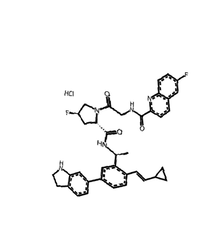 C[C@H](NC(=O)[C@@H]1C[C@@H](F)CN1C(=O)CNC(=O)c1ccc2cc(F)ccc2n1)c1cc(-c2ccc3c(c2)NCC3)ccc1/C=C/C1CC1.Cl